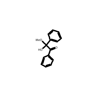 COC(O)(C(=O)c1ccccc1)c1ccccc1